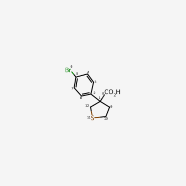 O=C(O)C1(c2ccc(Br)cc2)CCSC1